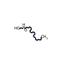 CC/C=C\C/C=C\C/C=C\C/C=C\C/C=C\C/C=C\CCC(=O)NCCCO